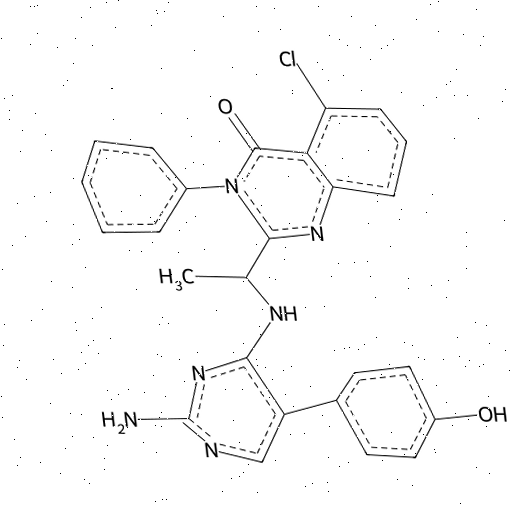 CC(Nc1nc(N)ncc1-c1ccc(O)cc1)c1nc2cccc(Cl)c2c(=O)n1-c1ccccc1